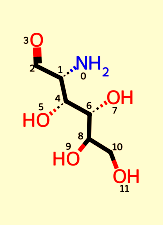 N[C@@H](C=O)[C@@H](O)[C@H](O)C(O)CO